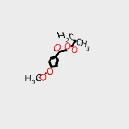 C=C(C)C(=O)OCC(=O)c1ccc(OCOC)cc1